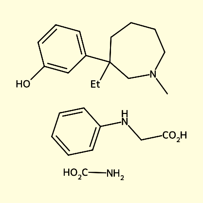 CCC1(c2cccc(O)c2)CCCCN(C)C1.NC(=O)O.O=C(O)CNc1ccccc1